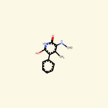 Cc1c(-c2ccccc2)c(O)[nH]c(=O)c1NC=O